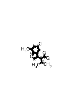 Cc1cc(Cl)cc2c(C(C(=O)Cl)C(C)C)coc12